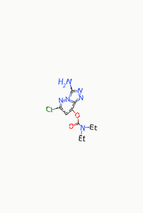 CCN(CC)C(=O)Oc1cc(Cl)nn2c(N)nnc12